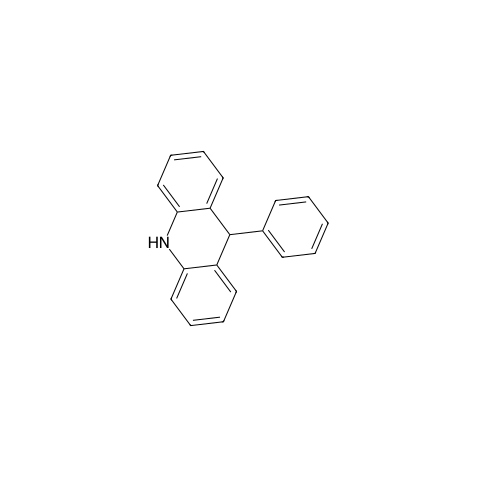 c1ccc(C2c3ccccc3Nc3ccccc32)cc1